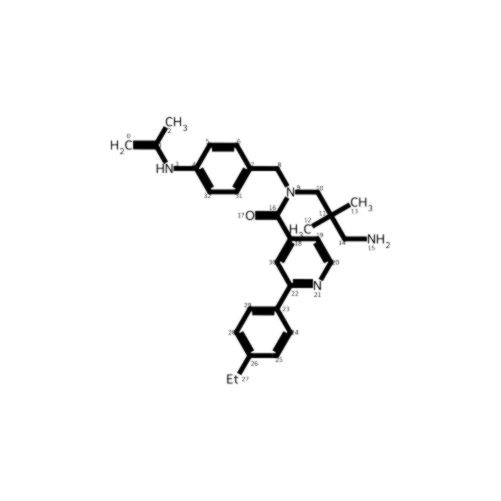 C=C(C)Nc1ccc(CN(CC(C)(C)CN)C(=O)c2ccnc(-c3ccc(CC)cc3)c2)cc1